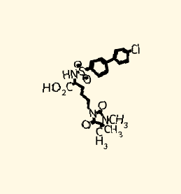 CN1C(=O)N(CCCCC(NS(=O)(=O)c2ccc(-c3ccc(Cl)cc3)cc2)C(=O)O)C(=O)C1(C)C